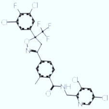 Cc1cc(C2=NOC(c3cc(Cl)c(F)c(Cl)c3)(C(F)(F)F)C2)ccc1C(=O)NCc1ncc(Cl)cc1Cl